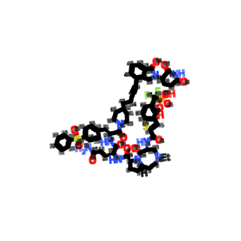 CCN1CC[C@H]2CC[C@@H](C(=O)N[C@@H](CCC(N)=O)C(=O)N[C@@H](Cc3ccc(S(=O)(=O)c4ccccc4)cc3)C(=O)N3CCC(CCC#Cc4cccc5c4CN(C4CCC(=O)NC4=O)C5=O)CC3)N2C(=O)[C@@H](NC(=O)c2cc3cc(C(F)(F)P(=O)(O)O)ccc3s2)C1